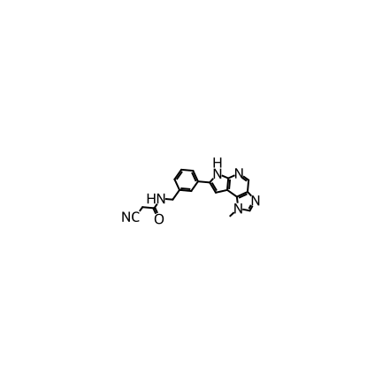 Cn1cnc2cnc3[nH]c(-c4cccc(CNC(=O)CC#N)c4)cc3c21